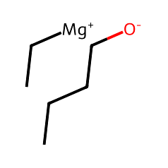 CCCC[O-].C[CH2][Mg+]